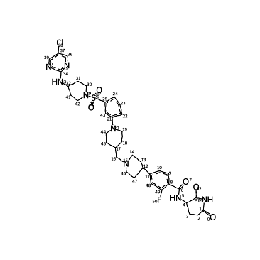 O=C1CCC(NC(=O)c2ccc(C3CCN(CC4CCN(c5cccc(S(=O)(=O)N6CCC(Nc7ncc(Cl)cn7)CC6)c5)CC4)CC3)cc2F)C(=O)N1